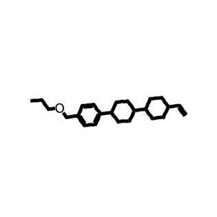 C=CC1CCC(C2CCC(c3ccc(COCCC)cc3)CC2)CC1